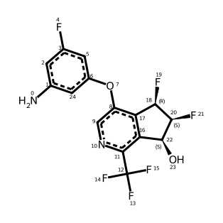 Nc1cc(F)cc(Oc2cnc(C(F)(F)F)c3c2[C@@H](F)[C@@H](F)[C@H]3O)c1